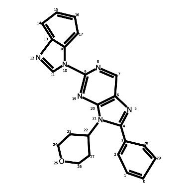 c1ccc(-c2nc3cnc(-n4cnc5ccccc54)nc3n2C2CCOCC2)cc1